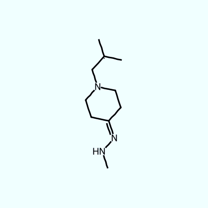 CNN=C1CCN(C[C](C)C)CC1